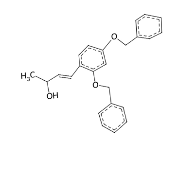 CC(O)C=Cc1ccc(OCc2ccccc2)cc1OCc1ccccc1